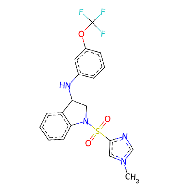 Cn1cnc(S(=O)(=O)N2CC(Nc3cccc(OC(F)(F)F)c3)c3ccccc32)c1